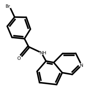 O=C(Nc1cccc2cnccc12)c1ccc(Br)cc1